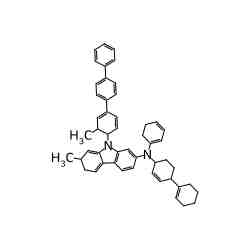 CC1C=c2c(c3ccc(N(C4=CC=CCC4)C4C=CC(C5=CCCCC5)CC4)cc3n2C2C=CC(c3ccc(-c4ccccc4)cc3)=CC2C)=CC1